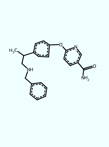 CC(CNCc1ccccc1)c1ccc(Oc2ccc(C(N)=O)cn2)cc1